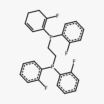 FC1=C(P(CCP(c2ccccc2F)c2ccccc2F)c2ccccc2F)C=CCC1